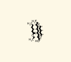 CCCCCC(=O)OCC.CCCCCCCCCCO.CCCCCCO